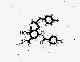 COC(=O)c1cc(NC(=O)c2ccc(Cl)cc2)c2cc(Cc3ccc(F)cc3)cnc2c1O